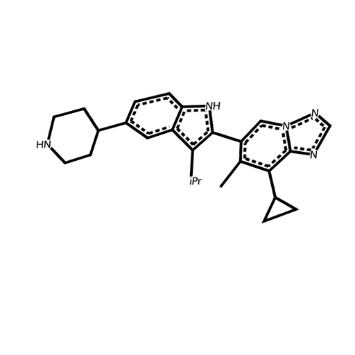 Cc1c(-c2[nH]c3ccc(C4CCNCC4)cc3c2C(C)C)cn2ncnc2c1C1CC1